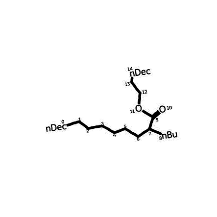 CCCCCCCCCCCCCCCCC(CCCC)C(=O)OCCCCCCCCCCCC